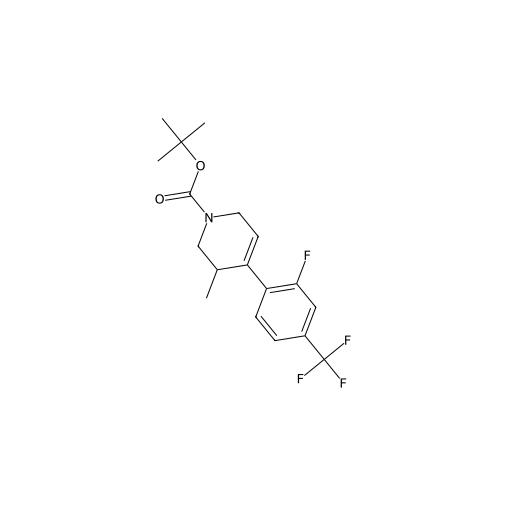 CC1CN(C(=O)OC(C)(C)C)CC=C1c1ccc(C(F)(F)F)cc1F